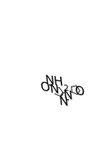 NC(=O)N1Cc2ncn(C3CCOC3)c2C1